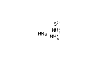 [NH4+].[NH4+].[NaH].[S-2]